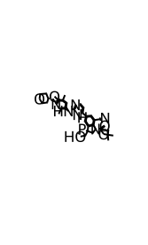 CPC1(CO)CN(C(=O)OC(C)(C)C)c2c(C#N)cc(-c3ccnc(Nc4cc(C)c(OC5CCOCC5)nc4C)n3)cc21